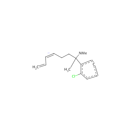 C=C/C=C\CCC(C)(NC)c1ccccc1Cl